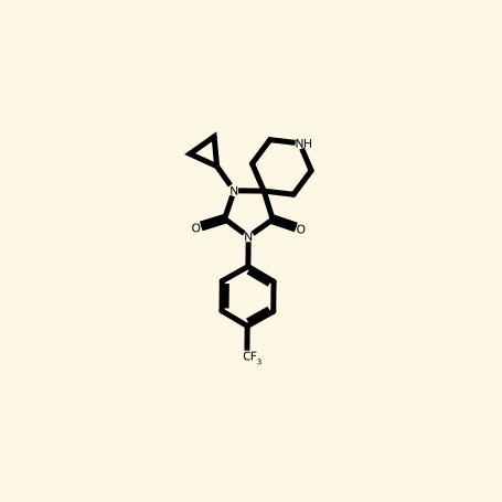 O=C1N(c2ccc(C(F)(F)F)cc2)C(=O)C2(CCNCC2)N1C1CC1